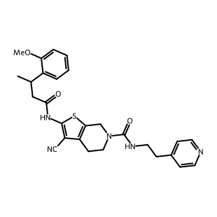 COc1ccccc1C(C)CC(=O)Nc1sc2c(c1C#N)CCN(C(=O)NCCc1ccncc1)C2